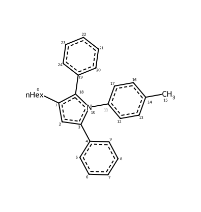 CCCCCCc1cc(-c2ccccc2)n(-c2ccc(C)cc2)c1-c1ccccc1